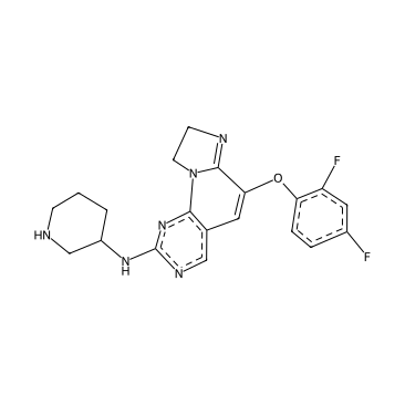 Fc1ccc(OC2=Cc3cnc(NC4CCCNC4)nc3N3CCN=C23)c(F)c1